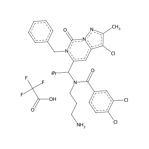 Cc1nn2c(=O)n(Cc3ccccc3)c(C(C(C)C)N(CCCN)C(=O)c3ccc(Cl)c(Cl)c3)cc2c1Cl.O=C(O)C(F)(F)F